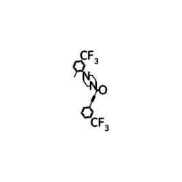 Cc1ccc(C(F)(F)F)cc1N1CCN(C(=O)C#Cc2cccc(C(F)(F)F)c2)CC1